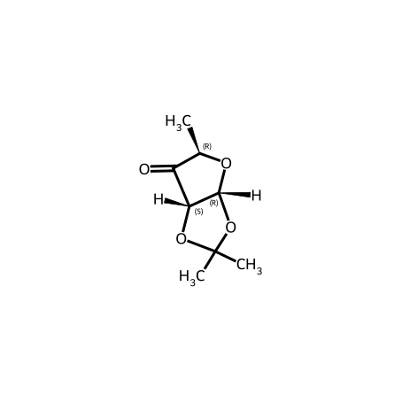 C[C@H]1O[C@@H]2OC(C)(C)O[C@@H]2C1=O